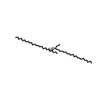 CCCCCCCCCCCCCCCCCCCCCC(CCC)PC(CCC)CCCCCCCCCCCCCCCCCCCCC